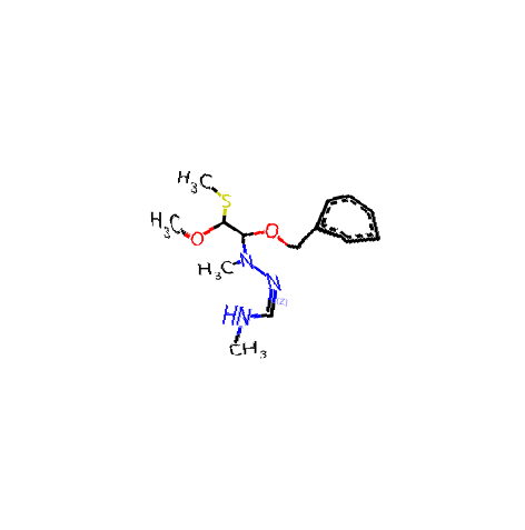 CN/C=N\N(C)C(OCc1ccccc1)C(OC)SC